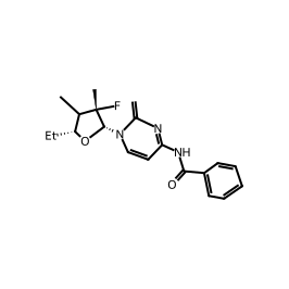 C=C1N=C(NC(=O)c2ccccc2)C=CN1[C@@H]1O[C@H](CC)C(C)[C@]1(C)F